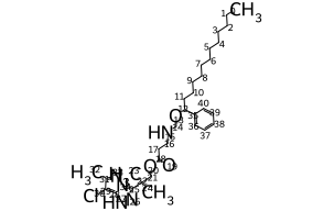 CCCCCCCCCCCCC(OCNCCC(=O)OCC(C)(C)c1n[nH]c2c(Cl)c(C)nn12)c1ccccc1